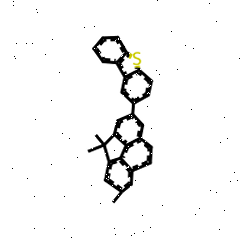 Cc1cc2c3c(ccc4cc(-c5ccc6sc7ccccc7c6c5)cc(c43)C2(C)C)c1